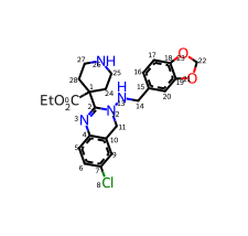 CCOC(=O)C1(C2=Nc3ccc(Cl)cc3CN2NCc2ccc3c(c2)OCO3)CCNCC1